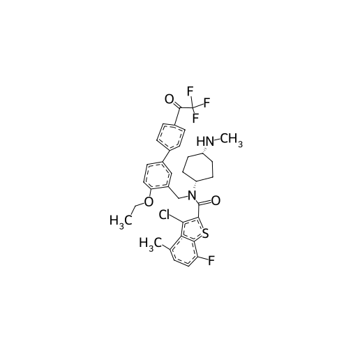 CCOc1ccc(-c2ccc(C(=O)C(F)(F)F)cc2)cc1CN(C(=O)c1sc2c(F)ccc(C)c2c1Cl)[C@H]1CC[C@@H](NC)CC1